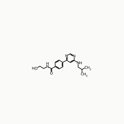 CC(C)CNc1cc(-c2ccc(C(=O)NCCO)cc2)ncn1